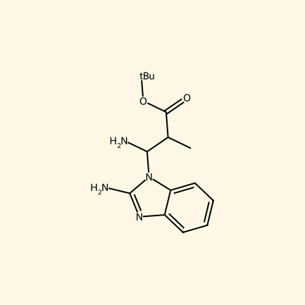 CC(C(=O)OC(C)(C)C)C(N)n1c(N)nc2ccccc21